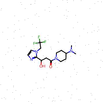 CN(C)C1CCN(C(=O)CC(O)c2nccn2CC(F)(F)F)CC1